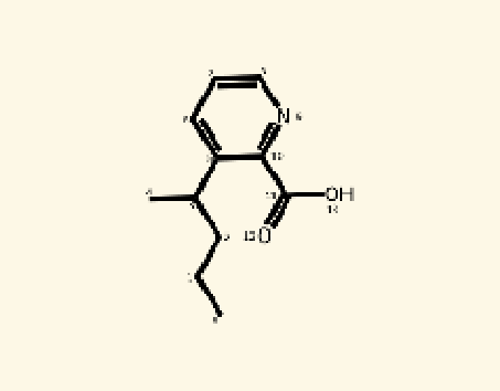 CCCC(C)c1cccnc1C(=O)O